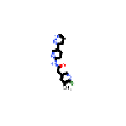 Cc1cc(CC(=O)Nc2ccc(-c3cccnn3)cn2)cnc1Cl